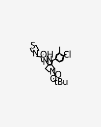 CC(C)(C)OC(=O)N1CCc2c(c(-c3ccc(Cl)c(I)c3)nn2C[C@@H](O)CN2CCSCC2)C1